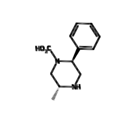 C[C@@H]1CN(C(=O)O)[C@@H](c2ccccc2)CN1